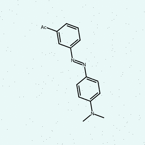 CC(=O)c1cccc(/N=N/c2ccc(N(C)C)cc2)c1